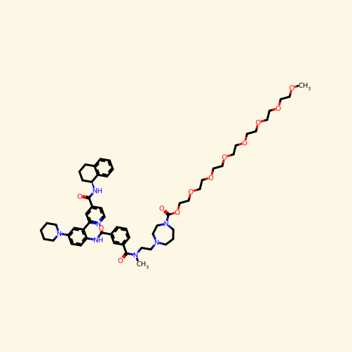 COCCOCCOCCOCCOCCOCCOCCOC(=O)N1CCCN(CCN(C)C(=O)c2cccc(C(=O)Nc3ccc(N4CCCCC4)cc3-c3cc(C(=O)N[C@H]4CCCc5ccccc54)ccn3)c2)CC1